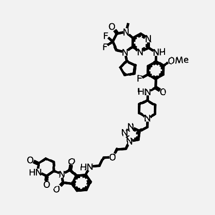 COc1cc(C(=O)NC2CCN(Cc3cn(CCOCCNc4cccc5c4C(=O)N(C4CCC(=O)NC4=O)C5=O)nn3)CC2)c(F)cc1Nc1ncc2c(n1)N(C1CCCC1)CC(F)(F)C(=O)N2C